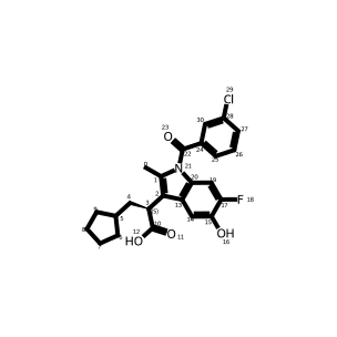 Cc1c([C@H](CC2CCCC2)C(=O)O)c2cc(O)c(F)cc2n1C(=O)c1cccc(Cl)c1